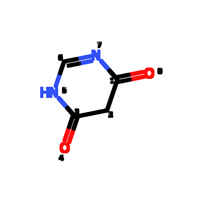 O=C1CC(=O)NC=N1